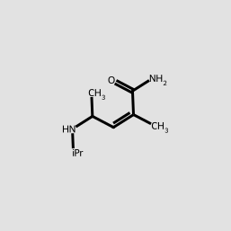 CC(=CC(C)NC(C)C)C(N)=O